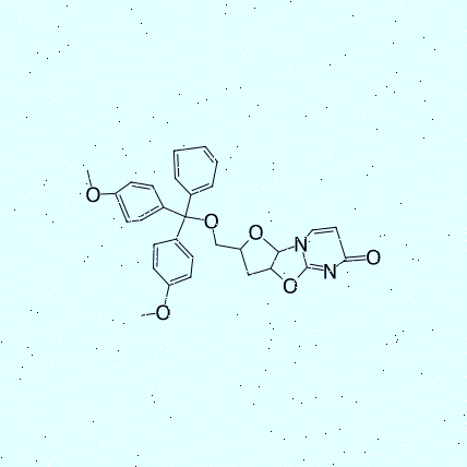 COc1ccc(C(OCC2CC3Oc4nc(=O)ccn4C3O2)(c2ccccc2)c2ccc(OC)cc2)cc1